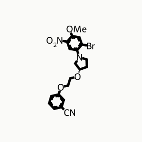 COc1cc(Br)c(N2CC[C@H](OCCOc3cccc(C#N)c3)C2)cc1[N+](=O)[O-]